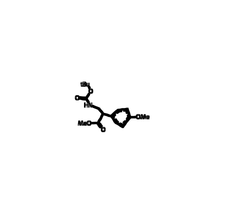 COC(=O)C(CNC(=O)OC(C)(C)C)c1ccc(OC)cc1